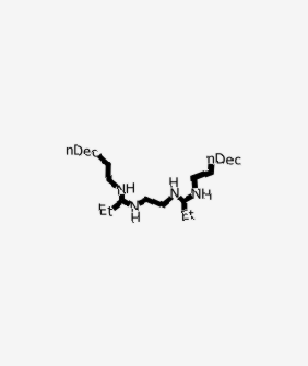 CCCCCCCCCCCCNC(CC)NCCNC(CC)NCCCCCCCCCCCC